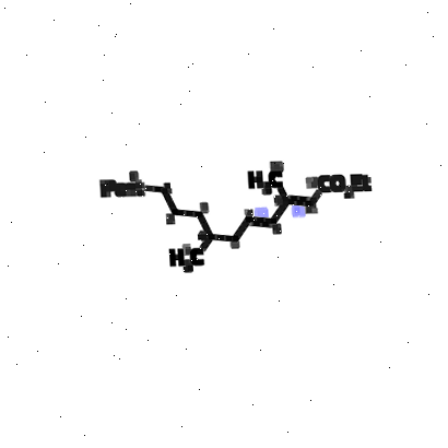 CCCC(C)CCCC(C)C/C=C/C(C)=C/C(=O)OCC